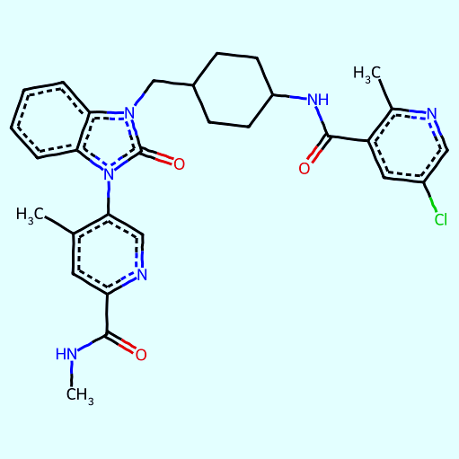 CNC(=O)c1cc(C)c(-n2c(=O)n(CC3CCC(NC(=O)c4cc(Cl)cnc4C)CC3)c3ccccc32)cn1